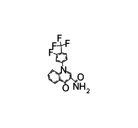 NC(=O)c1cn(-c2ccc(C(F)(F)F)c(F)c2)c2ccccc2c1=O